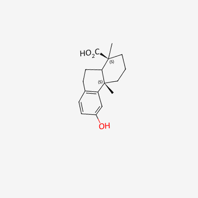 C[C@]1(C(=O)O)CCC[C@]2(C)c3cc(O)ccc3CCC12